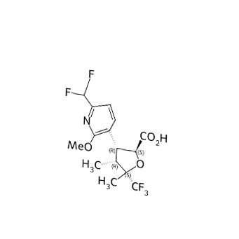 COc1nc(C(F)F)ccc1[C@@H]1[C@@H](C(=O)O)O[C@](C)(C(F)(F)F)[C@@H]1C